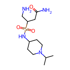 CC(C)N1CCC(NS(=O)(=O)C(CN)CC(N)=O)CC1